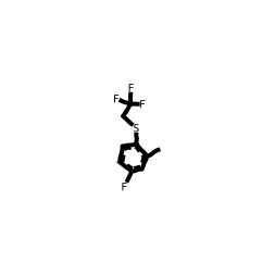 Cc1cc(F)[c]cc1SCC(F)(F)F